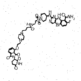 NC(=O)c1c(F)cccc1Nc1nc(NC2CCN(S(=O)(=O)CCNC(=O)CCCN3CCN(CCOc4cccc5c4C(=O)N(C4CCC(=O)NC4=O)C5=O)CC3)CC2)ncc1Br